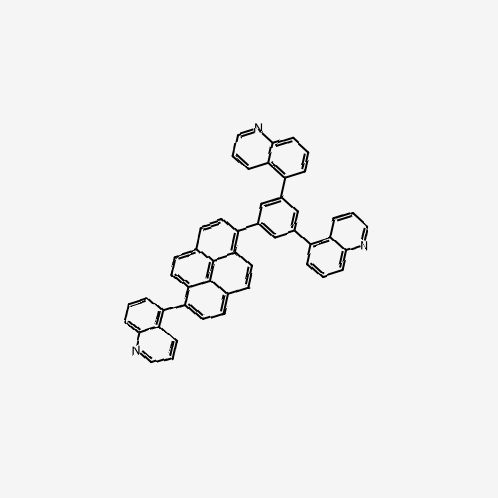 c1cc(-c2cc(-c3cccc4ncccc34)cc(-c3ccc4ccc5c(-c6cccc7ncccc67)ccc6ccc3c4c65)c2)c2cccnc2c1